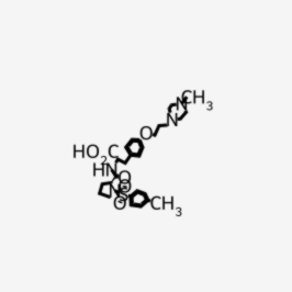 Cc1ccc(S(=O)(=O)N2CCC[C@H]2C(=O)N[C@@H](Cc2ccc(OCCCN3CCN(C)CC3)cc2)C(=O)O)cc1